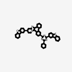 c1ccc(-c2nc(-c3ccc4sc5ccccc5c4c3)nc(-c3ccc4c(c3)c3ccccc3c3nc5cc(-c6ccc7oc8ccccc8c7c6)ccn5c43)n2)cc1